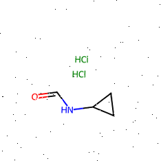 Cl.Cl.O=CNC1CC1